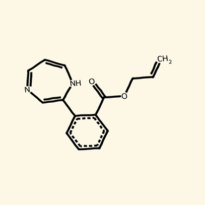 C=CCOC(=O)c1ccccc1C1=CN=CC=CN1